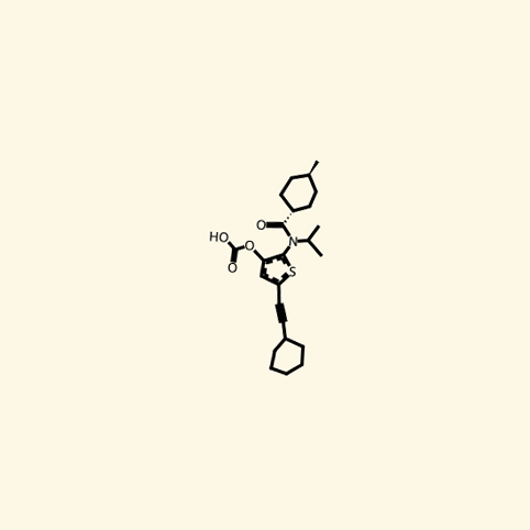 CC(C)N(c1sc(C#CC2CCCCC2)cc1OC(=O)O)C(=O)[C@H]1CC[C@H](C)CC1